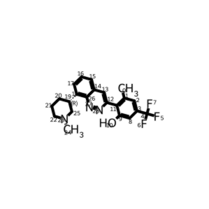 Cc1cc(C(F)(F)F)cc(O)c1-c1cc2cccc([C@H]3CCCN(C)C3)c2nn1